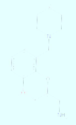 NCC1COc2cccc(CN3CCCCC3)c2O1